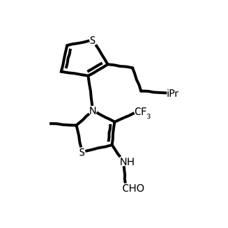 CC(C)CCc1sccc1N1C(C(F)(F)F)=C(NC=O)SC1C